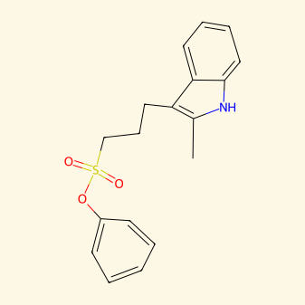 Cc1[nH]c2ccccc2c1CCCS(=O)(=O)Oc1ccccc1